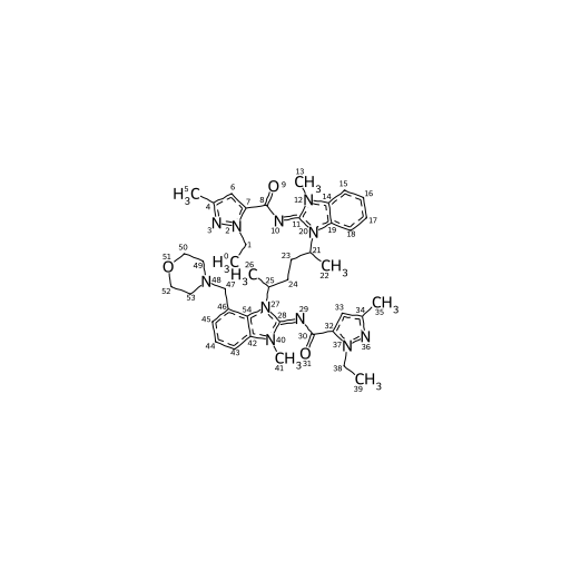 CCn1nc(C)cc1C(=O)/N=c1\n(C)c2ccccc2n1C(C)CCC(C)n1/c(=N/C(=O)c2cc(C)nn2CC)n(C)c2cccc(CN3CCOCC3)c21